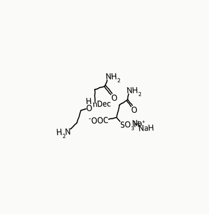 CCCCCCCCCCCC(N)=O.NC(=O)CC(C(=O)[O-])S(=O)(=O)O.NCCO.[Na+].[NaH]